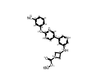 CC(C)(C)OC(=O)N1CC(Nc2cncc(-c3cnc(Oc4cccc(C#N)c4)nc3)c2)C1